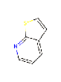 c1cnc2sccc2c1